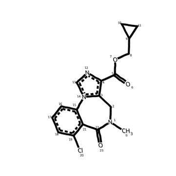 CN1Cc2c(C(=O)OCC3CC3)ncn2-c2cccc(Cl)c2C1=O